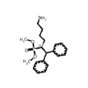 COP(=O)(OC)[C@@H](CCCCN)C(c1ccccc1)c1ccccc1